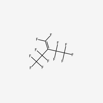 FC(F)=C(C(F)(F)C(F)(F)F)C(F)(F)C(F)(F)F